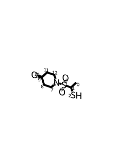 CC(S)S(=O)(=O)N1CCC(=O)CC1